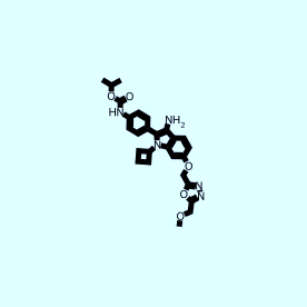 COCc1nnc(COc2ccc3c(N)c(-c4ccc(NC(=O)OC(C)C)cc4)n(C4CCC4)c3c2)o1